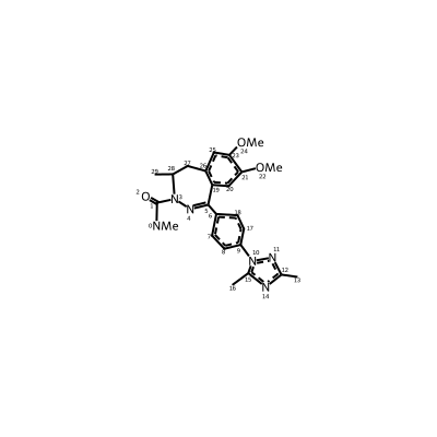 CNC(=O)N1N=C(c2ccc(-n3nc(C)nc3C)cc2)c2cc(OC)c(OC)cc2CC1C